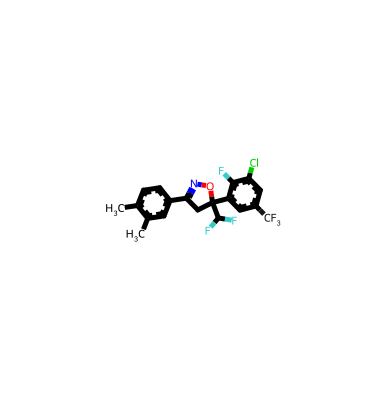 Cc1ccc(C2=NOC(c3cc(C(F)(F)F)cc(Cl)c3F)(C(F)F)C2)cc1C